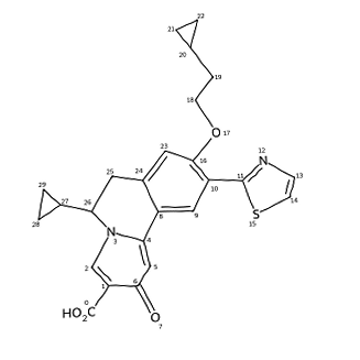 O=C(O)c1cn2c(cc1=O)-c1cc(-c3nccs3)c(OCCC3CC3)cc1CC2C1CC1